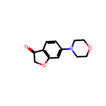 O=C1COc2cc(N3CCOCC3)ccc21